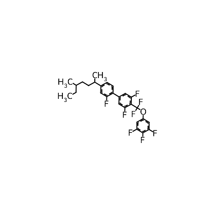 CCC(C)CCC(C)c1ccc(-c2cc(F)c(C(F)(F)Oc3cc(F)c(F)c(F)c3)c(F)c2)c(F)c1